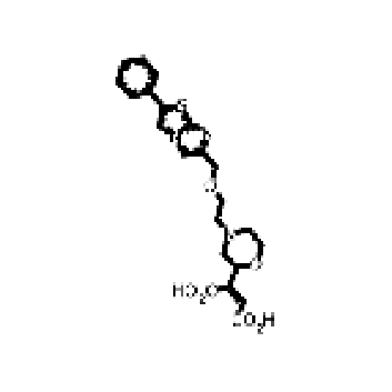 O=C(O)C=C(C(=O)O)C1CN(CCOCc2cn3cc(-c4ccccc4)sc3n2)CCO1